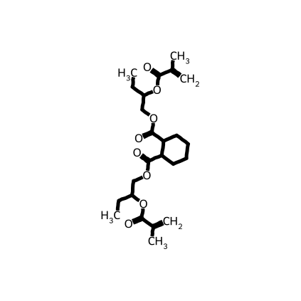 C=C(C)C(=O)OC(CC)COC(=O)C1CCCCC1C(=O)OCC(CC)OC(=O)C(=C)C